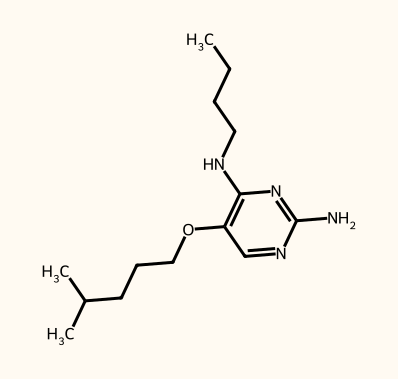 CCCCNc1nc(N)ncc1OCCCC(C)C